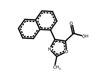 Cc1nc(-c2cccc3ccccc23)c(C(=O)O)o1